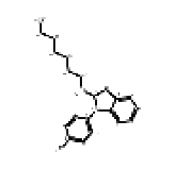 Fc1ccc(N2c3ccccc3CC2OCCCCCCBr)cc1